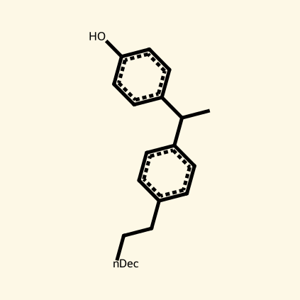 CCCCCCCCCCCCc1ccc(C(C)c2ccc(O)cc2)cc1